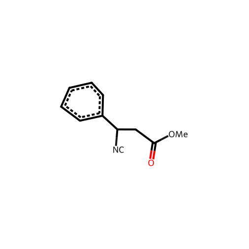 [C-]#[N+]C(CC(=O)OC)c1ccccc1